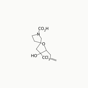 C=CCC1OC2(CCN(C(=O)O)C2)CC1(O)C(Cl)(Cl)Cl